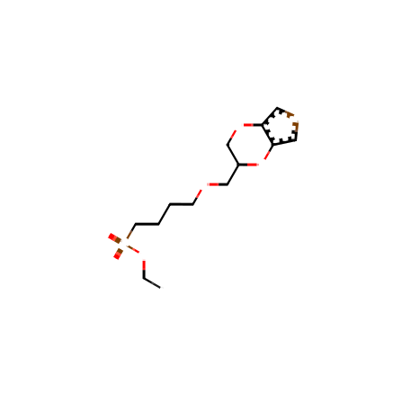 CC(C)(C)COS(=O)(=O)CCCCOCC1COc2cscc2O1